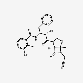 Cc1c(O)cccc1C(=O)N[C@@H](Cc1ccccc1)[C@H](O)C(=O)N1COC2(C)[C@H]1C(=O)N2CC#N